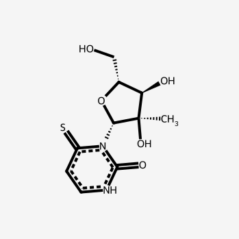 C[C@@]1(O)[C@H](O)[C@@H](CO)O[C@H]1n1c(=S)cc[nH]c1=O